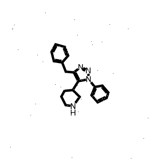 c1ccc(Cc2nnn(-c3ccccc3)c2C2CCCNC2)cc1